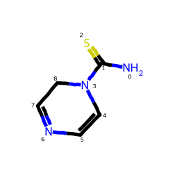 NC(=S)N1C=CN=CC1